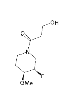 CO[C@H]1CCN(C(=O)CCO)C[C@H]1F